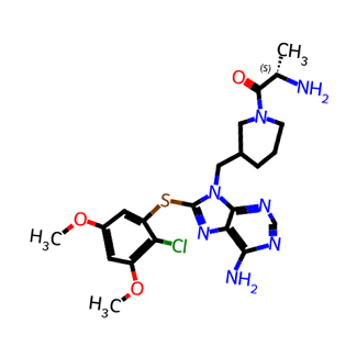 COc1cc(OC)c(Cl)c(Sc2nc3c(N)ncnc3n2CC2CCCN(C(=O)[C@H](C)N)C2)c1